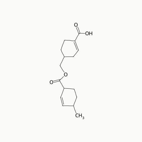 CC1C=CC(C(=O)OCC2CC=C(C(=O)O)CC2)CC1